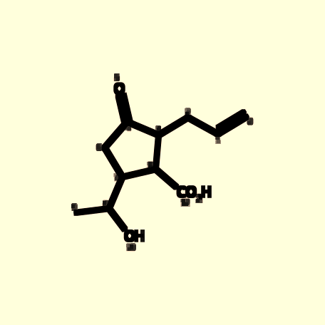 C=CCC1C(=O)CC(C(C)O)C1C(=O)O